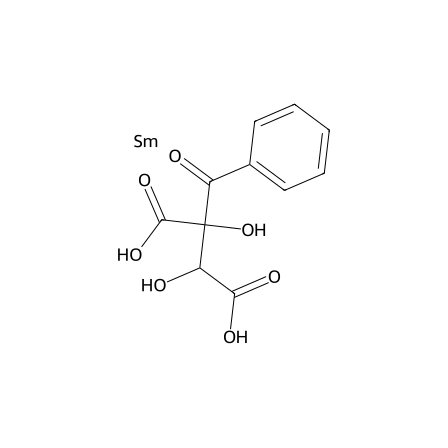 O=C(O)C(O)C(O)(C(=O)O)C(=O)c1ccccc1.[Sm]